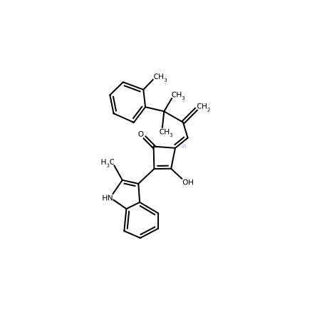 C=C(/C=C1\C(=O)C(c2c(C)[nH]c3ccccc23)=C1O)C(C)(C)c1ccccc1C